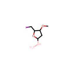 BBC1CC(OC)C(CI)O1